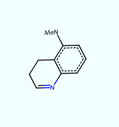 CNc1cccc2c1CCC=N2